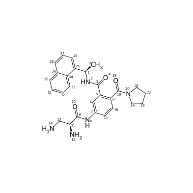 C[C@@H](NC(=O)c1cc(NC(=O)[C@@H](N)CN)ccc1C(=O)N1CCCC1)c1cccc2ccccc12